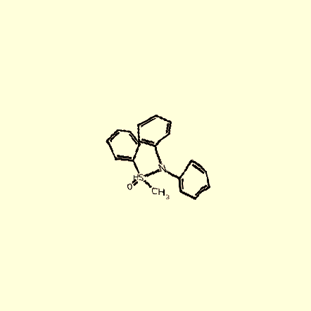 C[SH](=O)(c1ccccc1)N(c1ccccc1)c1ccccc1